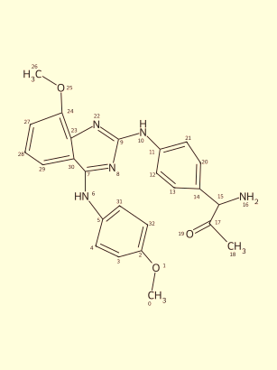 COc1ccc(Nc2nc(Nc3ccc(C(N)C(C)=O)cc3)nc3c(OC)cccc23)cc1